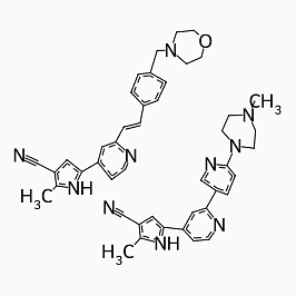 Cc1[nH]c(-c2ccnc(-c3ccc(N4CCN(C)CC4)nc3)c2)cc1C#N.Cc1[nH]c(-c2ccnc(C=Cc3ccc(CN4CCOCC4)cc3)c2)cc1C#N